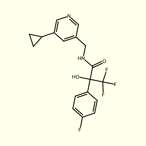 O=C(NCc1cncc(C2CC2)c1)C(O)(c1ccc(F)cc1)C(F)(F)F